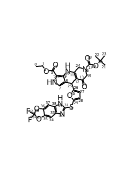 CCOC(=O)c1[nH]cc2c1NC1=C(C(=O)CN(C(=O)OC(C)(C)C)C1)C2c1ccc(Sc2nc3cc4c(cc3[nH]2)OC(F)(F)O4)o1